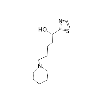 OC(CCCCN1CCCCC1)c1nccs1